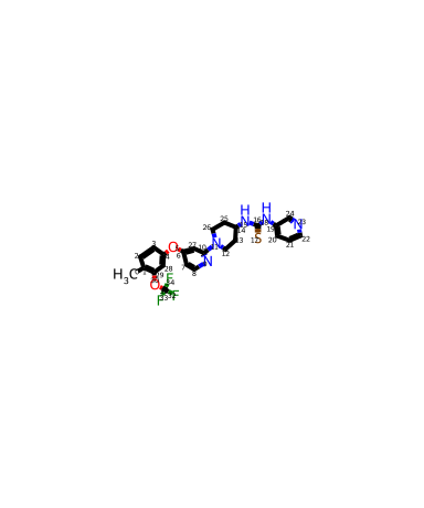 Cc1ccc(Oc2ccnc(N3CCC(NC(=S)Nc4cccnc4)CC3)c2)cc1OC(F)(F)F